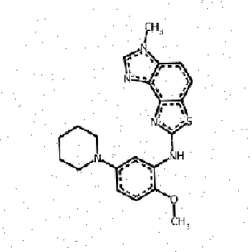 COc1ccc(N2CCCCC2)cc1Nc1nc2c(ccc3c2ncn3C)s1